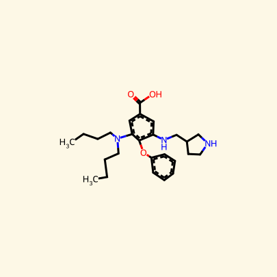 CCCCN(CCCC)c1cc(C(=O)O)cc(NCC2CCNC2)c1Oc1ccccc1